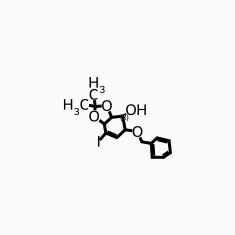 CC1(C)OC2C(I)=CC(OCc3ccccc3)[C@@H](O)C2O1